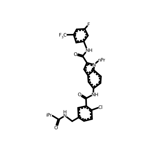 CCCn1c(C(=O)Nc2cc(F)cc(C(F)(F)F)c2)cc2cc(NC(=O)c3cc(CNC(=O)C(C)C)ccc3Cl)ccc21